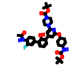 CC(=O)Nc1ccc(-c2cccc(-c3cc(OC4CCC(NC(=O)OC(C)(C)C)CC4)nc(N4CCN(C(=O)OC(C)(C)C)CC4)c3)c2O)cc1F